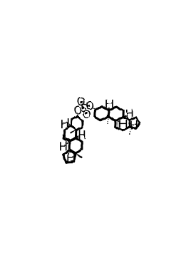 C[C@@]12CCC[C@H]1[C@H]1CC[C@H]3C[C@H](OS(=O)(=O)O[C@@H]4CC[C@@]5(C)[C@@H](CC[C@H]6[C@H]5CC[C@]5(C)CCC[C@@H]65)C4)CC[C@]3(C)[C@@H]1CC2